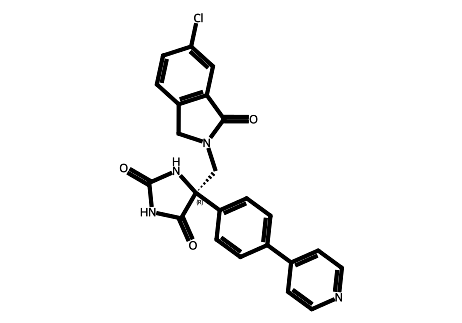 O=C1NC(=O)[C@](CN2Cc3ccc(Cl)cc3C2=O)(c2ccc(-c3ccncc3)cc2)N1